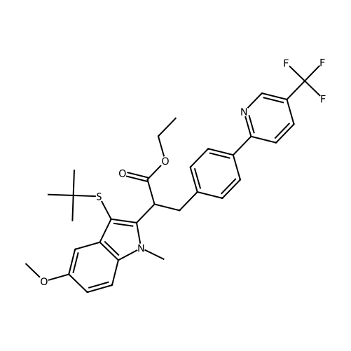 CCOC(=O)C(Cc1ccc(-c2ccc(C(F)(F)F)cn2)cc1)c1c(SC(C)(C)C)c2cc(OC)ccc2n1C